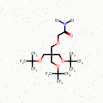 CCN(CC)C(=O)COCC(COC(C(F)(F)F)(C(F)(F)F)C(F)(F)F)(COC(C(F)(F)F)(C(F)(F)F)C(F)(F)F)COC(C(F)(F)F)(C(F)(F)F)C(F)(F)F